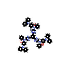 c1ccc2c(c1)Oc1cc(-n3c4ccccc4c4ccccc43)ccc1N2c1cnc(-c2cc(-c3ncc(N4c5ccccc5Oc5cc(-n6c7ccccc7c7ccccc76)ccc54)cn3)cc(-c3ncc(N4c5ccccc5Oc5cc(-n6c7ccccc7c7ccccc76)ccc54)cn3)c2)nc1